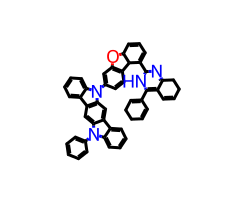 C1=CC2Oc3cc(-n4c5ccccc5c5cc6c(cc54)c4ccccc4n6-c4ccccc4)ccc3C2C(C2N=C3CCC=CC3=C(C3=CCCC=C3)N2)=C1